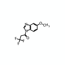 COc1ccc2c(c1)ncn2C(=O)CC(F)(F)F